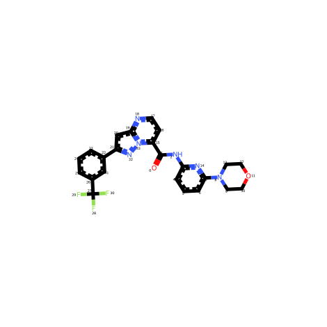 O=C(Nc1cccc(N2CCOCC2)n1)c1ccnc2cc(-c3cccc(C(F)(F)F)c3)nn12